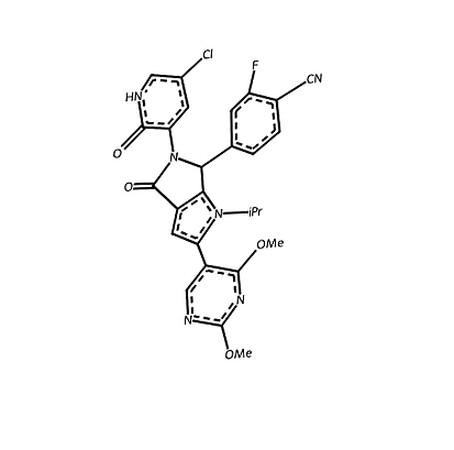 COc1ncc(-c2cc3c(n2C(C)C)C(c2ccc(C#N)c(F)c2)N(c2cc(Cl)c[nH]c2=O)C3=O)c(OC)n1